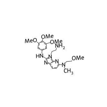 COCCN(C)c1ccc2nc(Nc3cc(OC)c(OC)c(OC)c3)n(CCN)c2n1